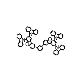 C1=CC2c3ccccc3N(c3cc(-n4c5ccccc5c5ccccc54)c4oc5ccc(-c6cccc(-c7ccc8oc9c(c8c7)CC(n7c8ccccc8c8ccccc87)C=C9n7c8ccccc8c8ccccc87)c6)cc5c4c3)C2C=C1